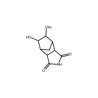 CC(=O)OC1C(O)C2CC1C1C(=O)NC(=O)C21